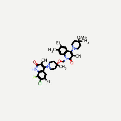 CCc1cc2c(N3CCC(C)(OC)CC3)c(C#N)c(=O)n(COC3(C)CCN(c4c(C#N)c(=O)[nH]c5c(F)c(Cl)c(CC)cc45)CC3)c2cc1C